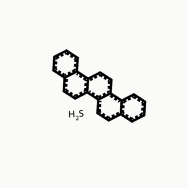 S.c1ccc2c(c1)ccc1c2ccc2c3ccccc3ccc21